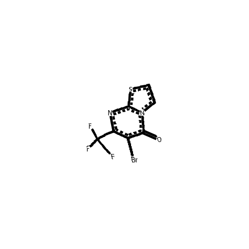 O=c1c(Br)c(C(F)(F)F)nc2sccn12